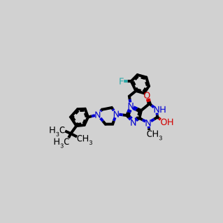 CN1c2nc(N3CCN(c4cccc(C(C)(C)C)c4)CC3)n(Cc3ccccc3F)c2C(=O)NC1O